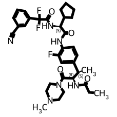 CCC(=O)N[C@@H](C(=O)N1CCN(C)CC1)[C@@H](C)c1ccc(NC(=O)[C@@H](NC(=O)C(F)(F)c2cccc(C#N)c2)C2CCCC2)c(F)c1